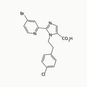 O=C(O)c1cnc(-c2cc(Br)ccn2)n1CCc1ccc(Cl)cc1